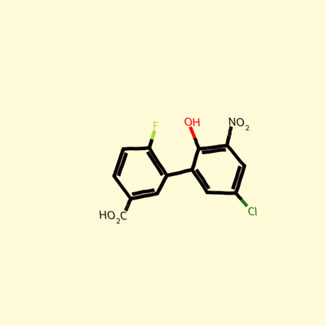 O=C(O)c1ccc(F)c(-c2cc(Cl)cc([N+](=O)[O-])c2O)c1